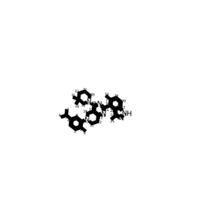 Cc1ccc(C(C)C)cc1N1CCc2nc(-c3c(C)ccc4[nH]nc(C)c34)nc(N3CCCC(C)(C)C3)c2C1